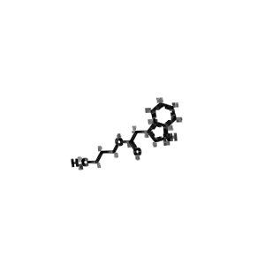 CCCCOC(=O)[CH]c1c[nH]c2ccccc12